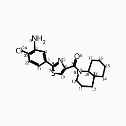 Nc1cc(-c2nc(C(=O)N3CCCC4CCCCC43)cs2)ccc1Cl